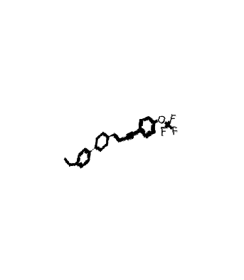 CCc1ccc([C@H]2CC[C@H](C=CC#Cc3ccc(OC(F)(F)F)cc3)CC2)cc1